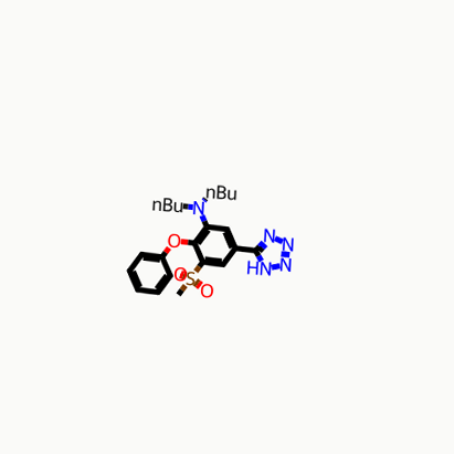 CCCCN(CCCC)c1cc(-c2nnn[nH]2)cc(S(C)(=O)=O)c1Oc1ccccc1